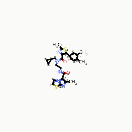 Cc1nc(C(=O)N(CCNC(=O)c2c(C)nc3sccn23)CC2CC2)c(-c2ccc(C)c(C)c2)s1